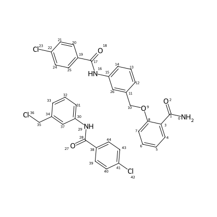 NC(=O)c1ccccc1OCc1cccc(NC(=O)c2ccc(Cl)cc2)c1.O=C(Nc1cccc(CCl)c1)c1ccc(Cl)cc1